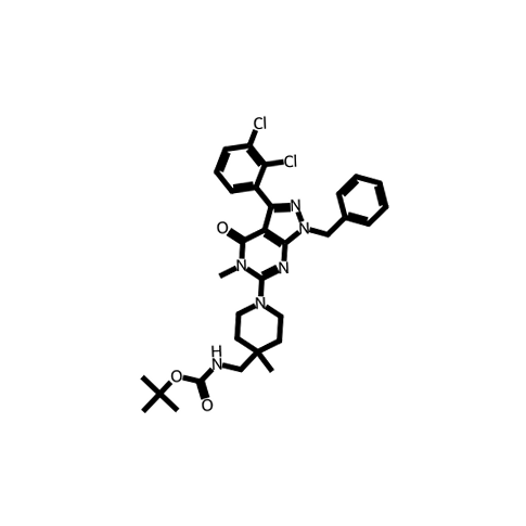 Cn1c(N2CCC(C)(CNC(=O)OC(C)(C)C)CC2)nc2c(c(-c3cccc(Cl)c3Cl)nn2Cc2ccccc2)c1=O